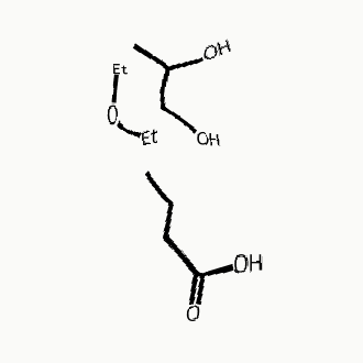 CC(O)CO.CCCC(=O)O.CCOCC